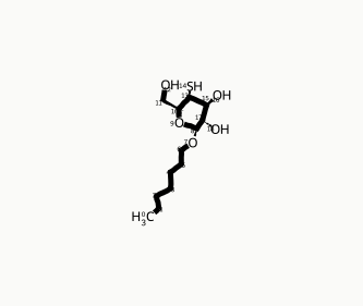 CCCCCCCO[C@@H]1O[C@@H](CO)[C@H](S)[C@@H](O)[C@@H]1O